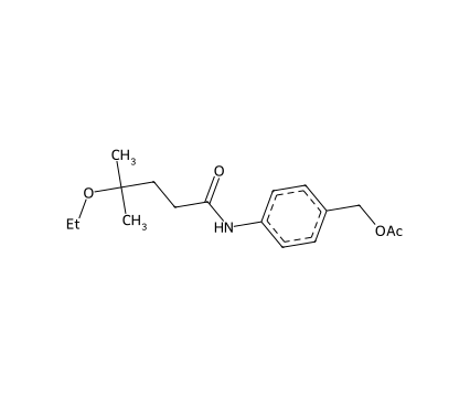 CCOC(C)(C)CCC(=O)Nc1ccc(COC(C)=O)cc1